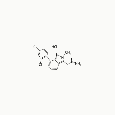 Cl.Cn1nc2c(-c3ccc(Cl)cc3Cl)cccc2c1CNN